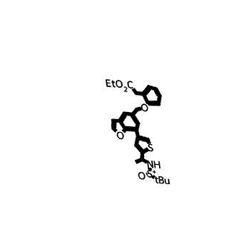 CCOC(=O)Cc1ccccc1OCc1cc(-c2csc(C(C)N[S+]([O-])C(C)(C)C)c2)c2occc2c1